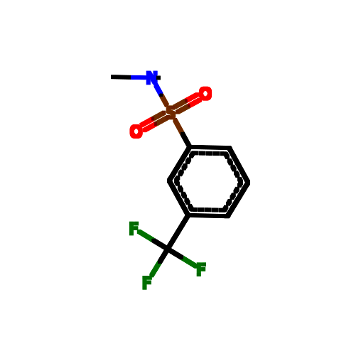 C[N]S(=O)(=O)c1cccc(C(F)(F)F)c1